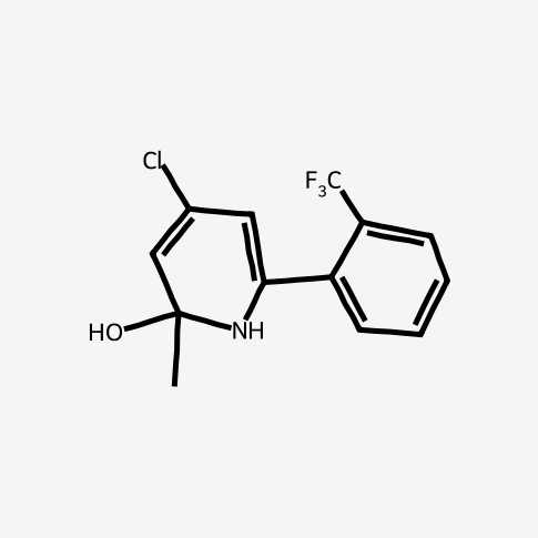 CC1(O)C=C(Cl)C=C(c2ccccc2C(F)(F)F)N1